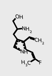 C=Cc1c(CC(N)CO)c[nH]c1/C=C(\C)F